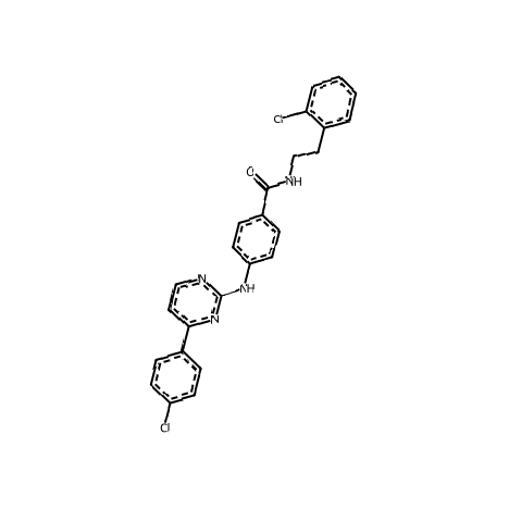 O=C(NCCc1ccccc1Cl)c1ccc(Nc2nccc(-c3ccc(Cl)cc3)n2)cc1